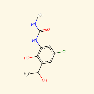 CCCCNC(=O)Nc1cc(Cl)cc(C(C)O)c1O